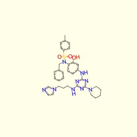 Cc1ccc(S(=O)(=O)N(Cc2ccccc2)c2ccc(Nc3nc(NCCCn4ccnc4)nc(N4CCCCC4)n3)cc2O)cc1